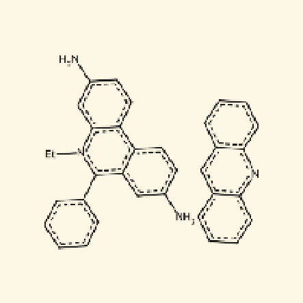 CC[n+]1c(-c2ccccc2)c2cc(N)ccc2c2ccc(N)cc21.c1ccc2nc3ccccc3cc2c1